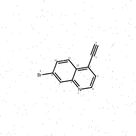 C#Cc1ccnc2cc(Br)ccc12